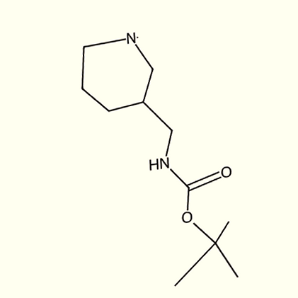 CC(C)(C)OC(=O)NCC1CCC[N]C1